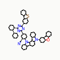 N#Cc1cc(-c2nc(-c3ccc4sc5ccccc5c4c3)nc(-c3ccccc3-c3ccccc3)n2)ccc1-n1c2ccccc2c2ccc3c(c4ccccc4n3-c3ccc4oc5ccccc5c4c3)c21